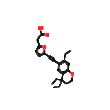 CCc1cc2c(cc1C#Cc1ccc(CC(=O)O)o1)C(CC)(CC)CCO2